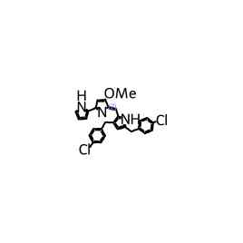 COC1=CC(c2ccc[nH]2)=N/C1=C\c1[nH]c(Cc2ccc(Cl)cc2)cc1Cc1ccc(Cl)cc1